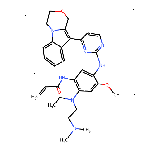 C=CC(=O)Nc1cc(Nc2nccc(-c3c4n(c5ccccc35)CCOC4)n2)c(OC)cc1N(CC)CCN(C)C